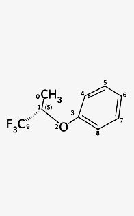 C[C@H](Oc1[c]cccc1)C(F)(F)F